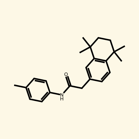 Cc1ccc(NC(=O)Cc2ccc3c(c2)C(C)(C)CCC3(C)C)cc1